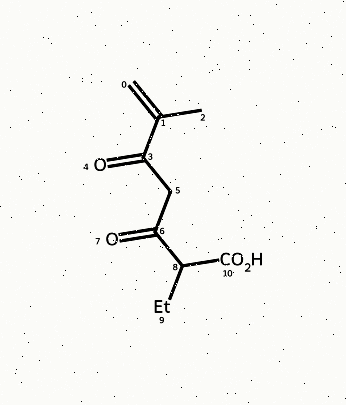 C=C(C)C(=O)CC(=O)C(CC)C(=O)O